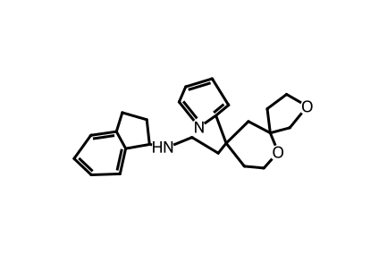 c1ccc(C2(CCNC3CCc4ccccc43)CCOC3(CCOC3)C2)nc1